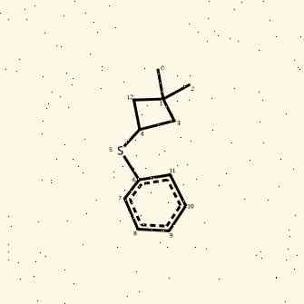 CC1(C)CC(Sc2ccccc2)C1